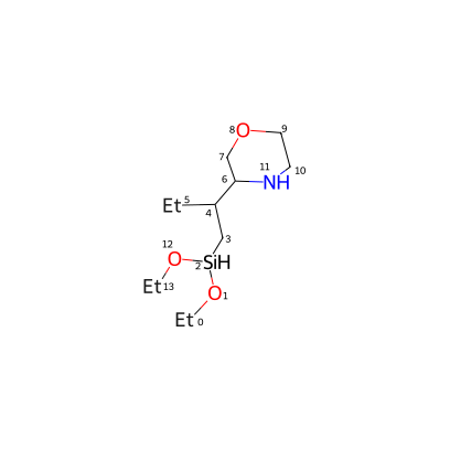 CCO[SiH](CC(CC)C1COCCN1)OCC